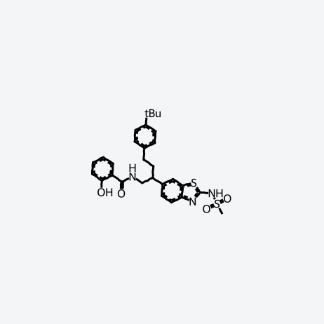 CC(C)(C)c1ccc(CCC(CNC(=O)c2ccccc2O)c2ccc3nc(NS(C)(=O)=O)sc3c2)cc1